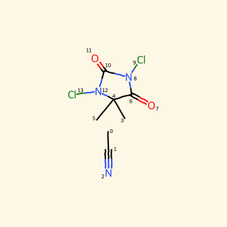 CC#N.CC1(C)C(=O)N(Cl)C(=O)N1Cl